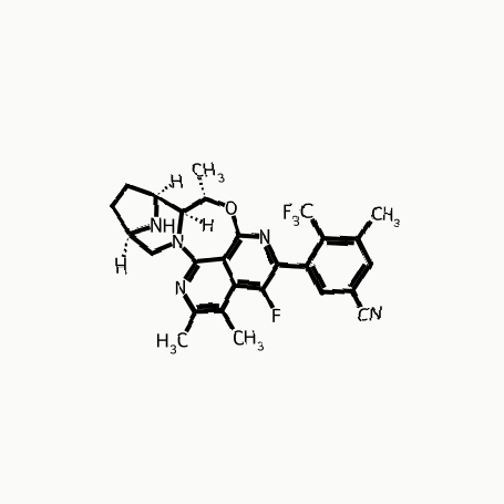 Cc1cc(C#N)cc(-c2nc3c4c(nc(C)c(C)c4c2F)N2C[C@H]4CC[C@H](N4)[C@H]2[C@H](C)O3)c1C(F)(F)F